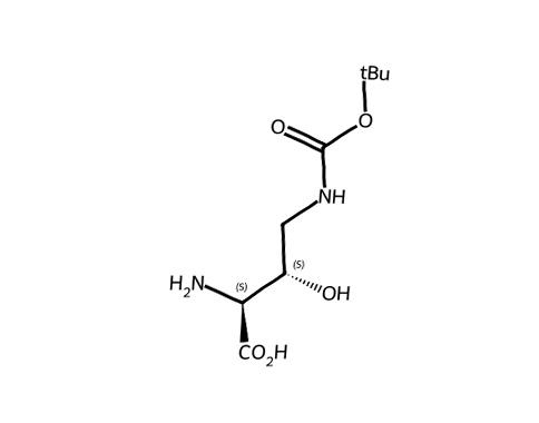 CC(C)(C)OC(=O)NC[C@H](O)[C@H](N)C(=O)O